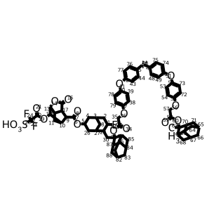 CCC1CC2CC(OC(=O)C3C4CC5C(OC(=O)C53)C4OC(=O)C(F)(F)S(=O)(=O)O)CC(C2)C1CC1(OC(=O)COc2ccc(Oc3ccc([I+]c4ccc(Oc5ccc(OCC(=O)OC6(C)C7CC8CC(C7)CC6C8)cc5)cc4)cc3)cc2)C2CC3CC(C2)CC1C3